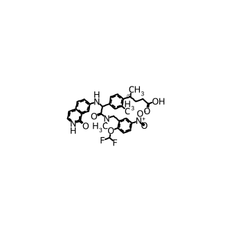 Cc1cc(C(Nc2ccc3cc[nH]c(=O)c3c2)C(=O)N(C)Cc2cc([N+](=O)[O-])ccc2OC(F)F)ccc1[C@@H](C)CCC(=O)O